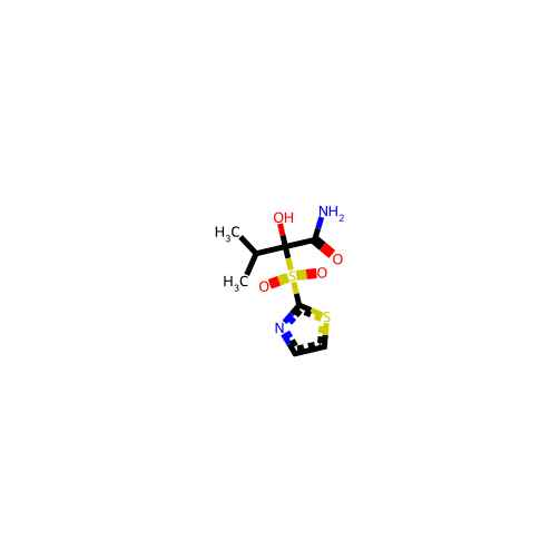 CC(C)C(O)(C(N)=O)S(=O)(=O)c1nccs1